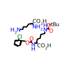 CC(C)(C)OC(=O)NCCCC[C@H](NC(=O)OCc1ccccc1Cl)C(=O)O.NCCCC[C@H](N)C(=O)O